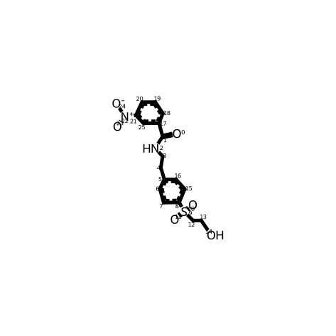 O=C(NCCc1ccc(S(=O)(=O)CCO)cc1)c1cccc([N+](=O)[O-])c1